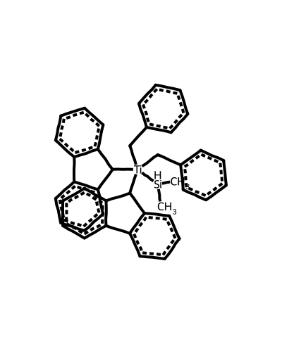 C[SiH](C)[Ti]([CH2]c1ccccc1)([CH2]c1ccccc1)([CH]1c2ccccc2-c2ccccc21)[CH]1c2ccccc2-c2ccccc21